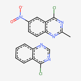 Cc1nc(Cl)c2cc([N+](=O)[O-])ccc2n1.Clc1ncnc2ccccc12